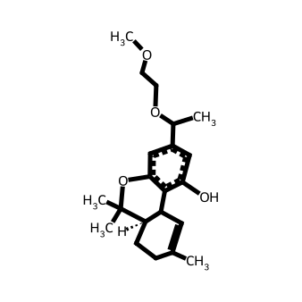 COCCOC(C)c1cc(O)c2c(c1)OC(C)(C)[C@@H]1CCC(C)=CC21